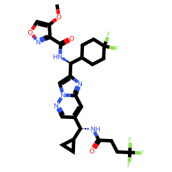 COc1conc1C(=O)N[C@H](c1cn2ncc([C@H](NC(=O)CCC(F)(F)F)C3CC3)cc2n1)C1CCC(F)(F)CC1